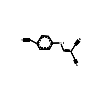 N#CC(C#N)=CNc1ccc(C#N)cc1